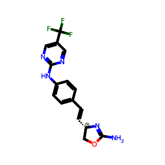 NC1=N[C@@H](C=Cc2ccc(Nc3ncc(C(F)(F)F)cn3)cc2)CO1